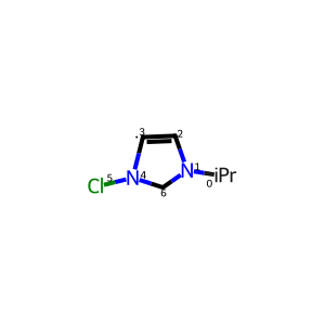 CC(C)N1C=[C]N(Cl)C1